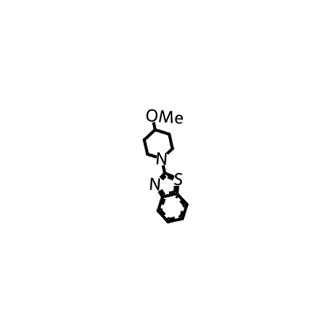 COC1CCN(c2nc3ccccc3s2)CC1